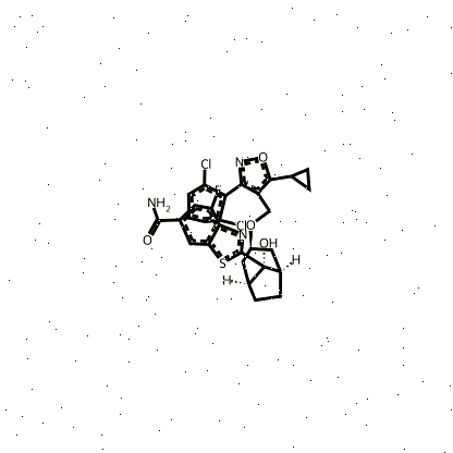 NC(=O)c1cc(F)c2nc([C@@]3(O)[C@@H]4CC[C@H]3C[C@@H](OCc3c(-c5c(Cl)cccc5Cl)noc3C3CC3)C4)sc2c1